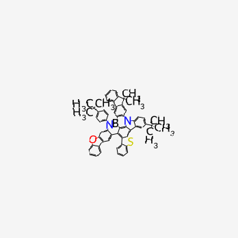 CC(C)(C)c1ccc(N2B3c4cc5c(cc4-n4c6ccc(C(C)(C)C)cc6c6c7sc8ccccc8c7c(c3c64)-c3cc4c(cc32)oc2ccccc24)C(C)(C)c2ccccc2-5)cc1